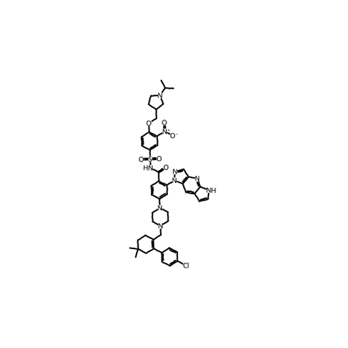 CC(C)N1CCC(COc2ccc(S(=O)(=O)NC(=O)c3ccc(N4CCN(CC5=C(c6ccc(Cl)cc6)CC(C)(C)CC5)CC4)cc3-n3ncc4nc5[nH]ccc5cc43)cc2[N+](=O)[O-])C1